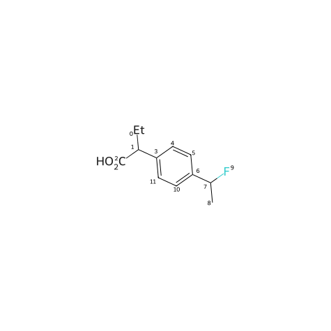 CCC(C(=O)O)c1ccc(C(C)F)cc1